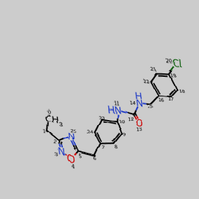 CCc1noc(Cc2ccc(NC(=O)NCc3ccc(Cl)cc3)cc2)n1